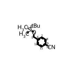 CC(C)(C)[Si](C)(C)OCc1ccc(C#N)cc1